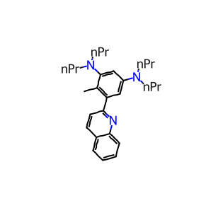 CCCN(CCC)c1cc(-c2ccc3ccccc3n2)c(C)c(N(CCC)CCC)c1